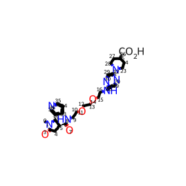 CN1C(=O)C[C@H](C(=O)NCCOCCOCCNc2cnc(N3CCC(C(=O)O)CC3)cn2)[C@H]1c1cccnc1